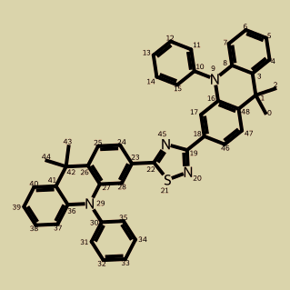 CC1(C)c2ccccc2N(c2ccccc2)c2cc(-c3nsc(-c4ccc5c(c4)N(c4ccccc4)c4ccccc4C5(C)C)n3)ccc21